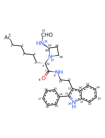 CC(=O)CCCCC[C@@H](C(=O)NCCc1c(-c2ccccc2)[nH]c2ccccc12)N1CC[C@@H]1NC=O